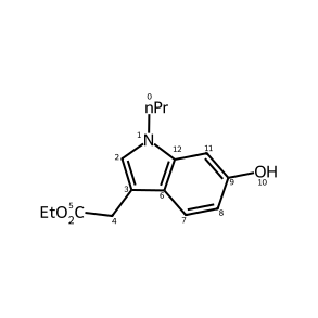 CCCn1cc(CC(=O)OCC)c2ccc(O)cc21